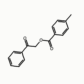 Cc1ccc(C(=O)OCC(=O)c2ccccc2)cc1